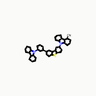 N#Cc1cccc2c1c1ccccc1n2-c1ccc2sc3ccc(-c4cccc(-n5c6ccccc6c6ccccc65)c4)cc3c2c1